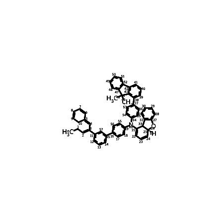 CC/C=C(\C=C1\C=CC=CC1)c1cccc(-c2ccc(N(C3=CC=C[C@H]4Oc5ccccc5C34)c3ccc(-c4cccc5c4C(C)(C)c4ccccc4-5)cc3)cc2)c1